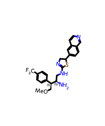 COC[C@@H](c1ccc(C(F)(F)F)cc1)[C@H](N)CNC1=NCC(c2ccc3cnccc3c2)S1